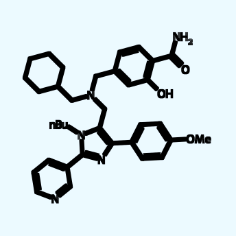 CCCCn1c(-c2cccnc2)nc(-c2ccc(OC)cc2)c1CN(Cc1ccc(C(N)=O)c(O)c1)CC1CCCCC1